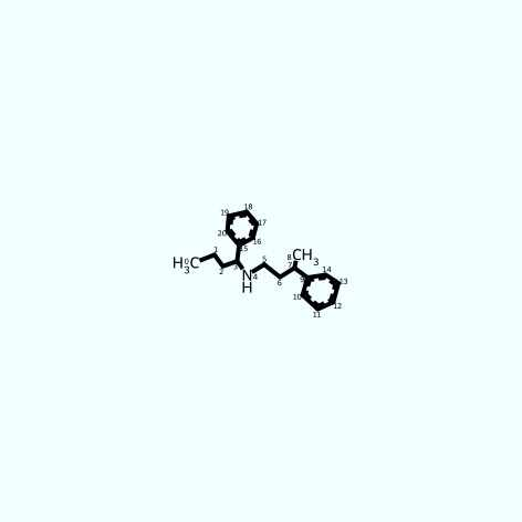 CC[CH]C(NCCC(C)c1ccccc1)c1ccccc1